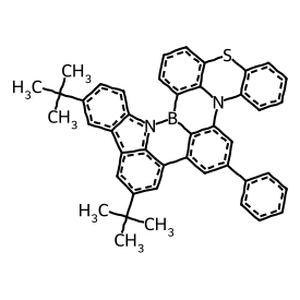 CC(C)(C)c1ccc2c(c1)c1cc(C(C)(C)C)cc3c1n2B1c2cccc4c2N(c2ccccc2S4)c2cc(-c4ccccc4)cc-3c21